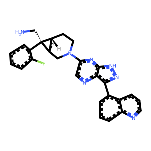 NC[C@]1(c2ccccc2F)[C@@H]2CCN(c3cnc4c(-c5cccc6ncccc56)n[nH]c4n3)C[C@@H]21